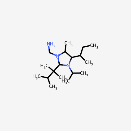 CCC(C)C1C(C)N(CN)C(C(C)(C)C(C)C)N1C(C)C